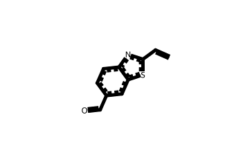 C=Cc1nc2ccc(C=O)cc2s1